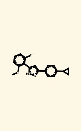 COc1cccc(F)c1-c1cc(-c2ccc(C3CC3)cc2)n[nH]1